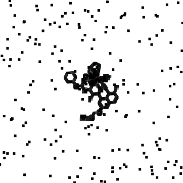 COCOc1cc(-c2ncc3c(N4CC5CCC(C4)N5C(=O)OC(C)(C)C)nc(OC4CCCCC4)nc3c2F)c2c(C#C[Si](C(C)C)(C(C)C)C(C)C)c(F)ccc2c1